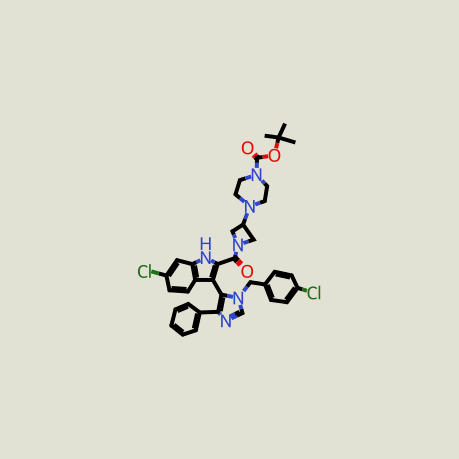 CC(C)(C)OC(=O)N1CCN(C2CN(C(=O)c3[nH]c4cc(Cl)ccc4c3-c3c(-c4ccccc4)ncn3Cc3ccc(Cl)cc3)C2)CC1